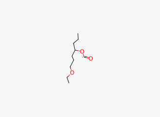 CCCC(CCCOCC)O[C]=O